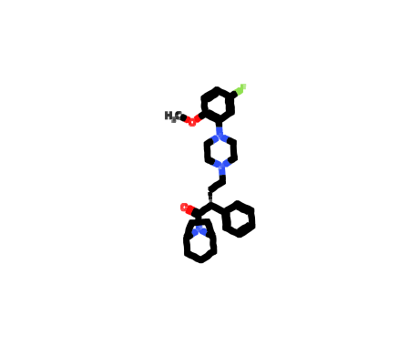 COc1ccc(F)cc1N1CCN(CC[C@@H](C(=O)N2C3CCCC2CC3)c2ccccc2)CC1